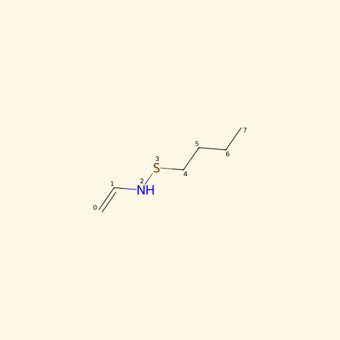 C=CNSCCCC